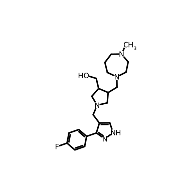 CN1CCCN(CC2CN(Cc3c[nH]nc3-c3ccc(F)cc3)CC2CO)CC1